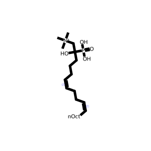 CCCCCCCC/C=C\CC/C=C\CCCC(O)(C[N+](C)(C)C)P(=O)(O)O